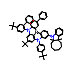 CC(C)(C)c1ccc(N2c3cc(N4c5ccccc5C5(C)CCCCCCC45C)ccc3B3c4cc(-c5ccccc5)ccc4N(c4ccc(C(C)(C)C)cc4-c4ccccc4)c4cc(C(C)(C)C)cc2c43)cc1